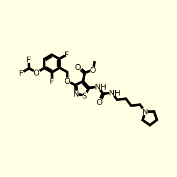 COC(=O)c1c(OCc2c(F)ccc(OC(F)F)c2F)nsc1NC(=O)NCCCCN1CCCC1